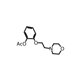 CC(=O)Oc1ccccc1OCCN1CCOCC1